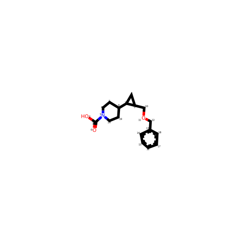 O=C(O)N1CCC(C2CC2COCc2ccccc2)CC1